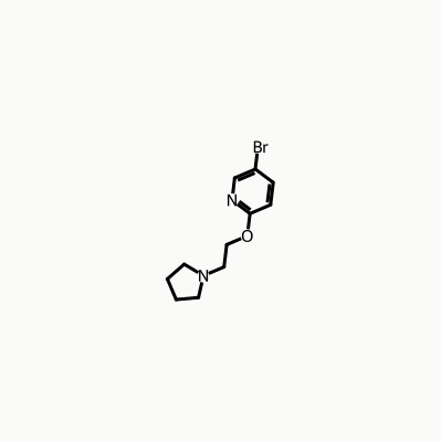 Brc1ccc(OCCN2CCCC2)nc1